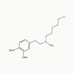 COc1ccc(CCN(C)CCCCCCl)cc1OC